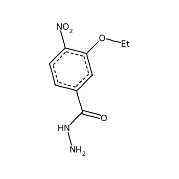 CCOc1cc(C(=O)NN)ccc1[N+](=O)[O-]